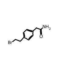 NC(=O)Cc1ccc(CCBr)cc1